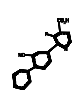 N#Cc1cc(-c2nccc(C(=O)O)c2F)ccc1-c1ccccc1